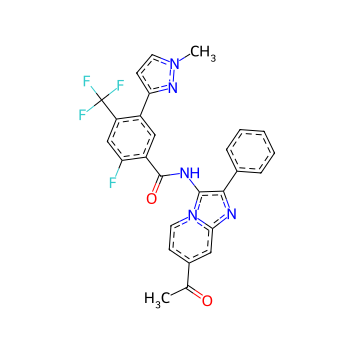 CC(=O)c1ccn2c(NC(=O)c3cc(-c4ccn(C)n4)c(C(F)(F)F)cc3F)c(-c3ccccc3)nc2c1